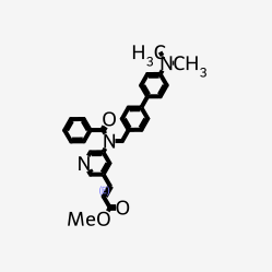 COC(=O)/C=C/c1cncc(N(Cc2ccc(-c3ccc(N(C)C)cc3)cc2)C(=O)c2ccccc2)c1